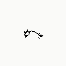 CCOC(=O)CCCCCCCC1CC1CC1CC1CC1CC1CC